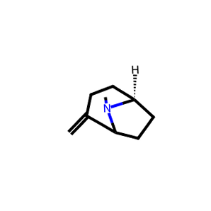 C=C1CC[C@H]2CCC1N2C